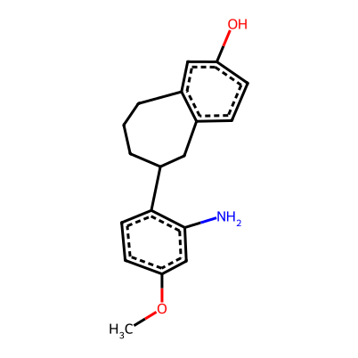 COc1ccc(C2CCCc3cc(O)ccc3C2)c(N)c1